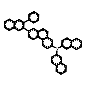 c1ccc(-c2cc3ccccc3cc2-c2ccc3c(ccc4cc(N(c5ccc6ccccc6c5)c5ccc6ccccc6c5)ccc43)c2)cc1